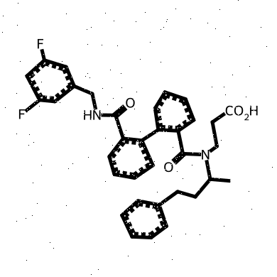 CC(CCc1ccccc1)N(CCC(=O)O)C(=O)c1ccccc1-c1ccccc1C(=O)NCc1cc(F)cc(F)c1